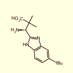 CC(C)(C)c1ccc2[nH]c([C@@H](N)C(C)(C)C(=O)O)nc2c1